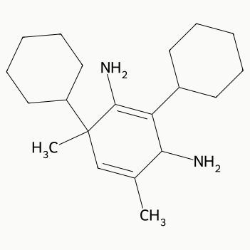 CC1=CC(C)(C2CCCCC2)C(N)=C(C2CCCCC2)C1N